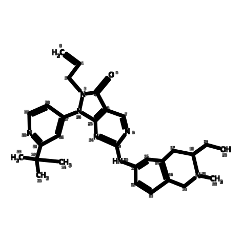 C=CCn1c(=O)c2cnc(Nc3ccc4c(c3)CC(CO)N(C)C4)nc2n1-c1ccnc(C(C)(C)C)c1